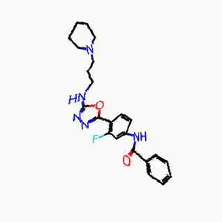 O=C(Nc1ccc(-c2nnc(NCCCN3CCCCC3)o2)c(F)c1)c1ccccc1